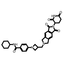 O=C1CCC(N2C(=O)c3cc4c(cc3C2=O)CN(CC2CN(c3ccc(C(=O)NC5CCCCC5)cc3)C2)C4)C(=O)N1